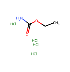 CCOC(N)=O.Cl.Cl.Cl.Cl